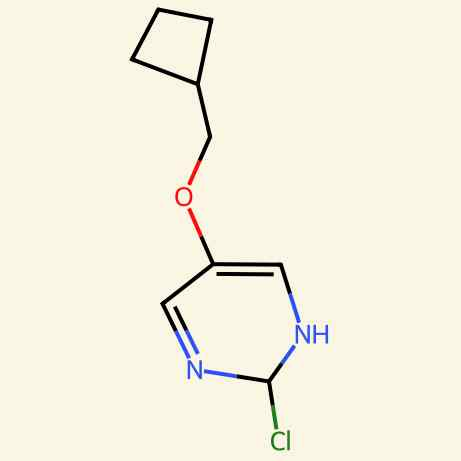 ClC1N=CC(OCC2CCC2)=CN1